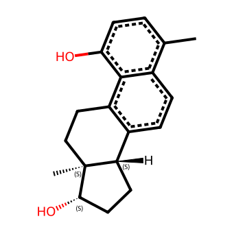 Cc1ccc(O)c2c3c(ccc12)[C@@H]1CC[C@H](O)[C@@]1(C)CC3